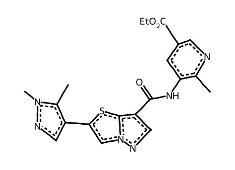 CCOC(=O)c1cnc(C)c(NC(=O)c2cnn3cc(-c4cnn(C)c4C)sc23)c1